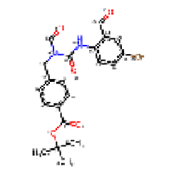 CC(C)(C)OC(=O)c1ccc(CN(C=O)C(=O)Nc2ccc(Br)cc2C=O)cc1